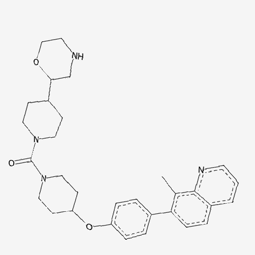 Cc1c(-c2ccc(OC3CCN(C(=O)N4CCC(C5CNCCO5)CC4)CC3)cc2)ccc2cccnc12